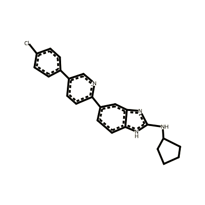 Clc1ccc(-c2ccc(-c3ccc4[nH]c(NC5CCCC5)nc4c3)nc2)cc1